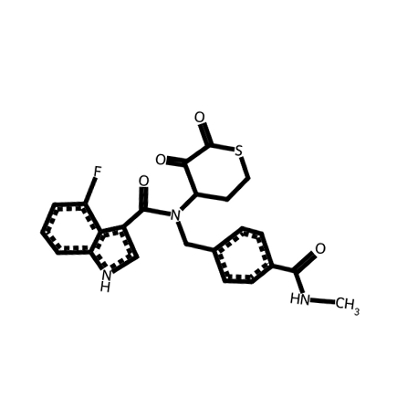 CNC(=O)c1ccc(CN(C(=O)c2c[nH]c3cccc(F)c23)C2CCSC(=O)C2=O)cc1